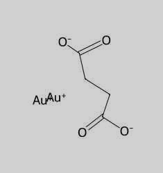 O=C([O-])CCC(=O)[O-].[Au+].[Au+]